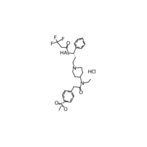 CCN(C(=O)Cc1ccc(S(C)(=O)=O)cc1)C1CCN(CC[C@H]([AsH]C(=O)CC(F)(F)F)c2ccccc2)CC1.Cl